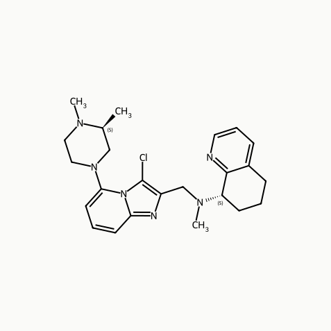 C[C@H]1CN(c2cccc3nc(CN(C)[C@H]4CCCc5cccnc54)c(Cl)n23)CCN1C